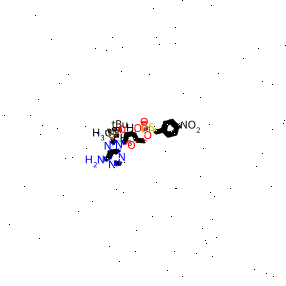 CC(C)(C)[Si](C)(C)O[C@@H]1C(n2c(Br)nc3c(N)ncnc32)OC2CO[P@@](=O)(SCc3ccc([N+](=O)[O-])cc3)O[C@H]21